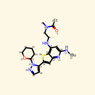 CCC(=O)N(C)CCNc1cc(NC(C)(C)C)nc2cc(-c3ccnn3C3CCCCO3)sc12